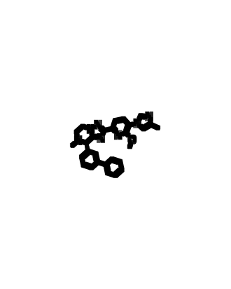 COc1nc(-c2nc3n(n2)CCN(C)[C@@H]3c2cccc(-c3ccccc3)c2)ccc1-n1cnc(C)c1